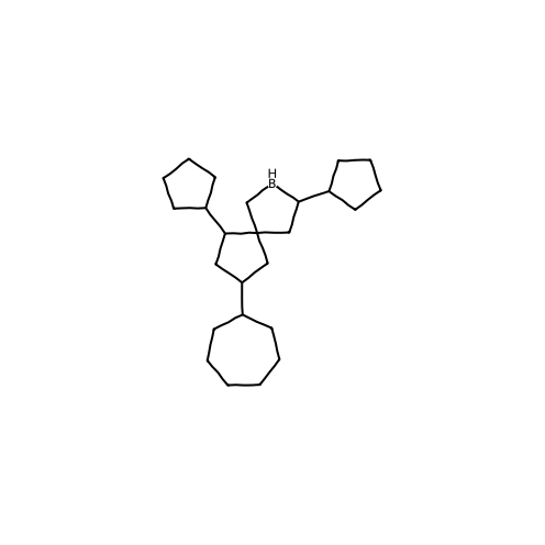 B1CC2(CC1C1CCCC1)CC(C1CCCCCC1)CC2C1CCCC1